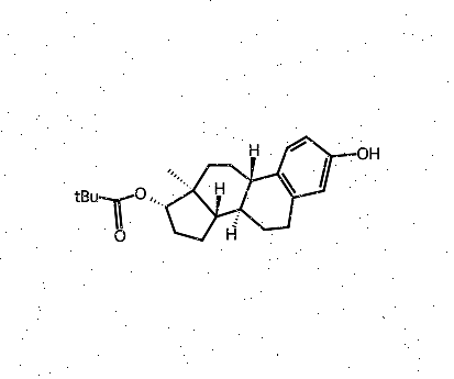 CC(C)(C)C(=O)O[C@H]1CC[C@H]2[C@@H]3CCc4cc(O)ccc4[C@H]3CC[C@]12C